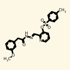 COc1cccc(CC(=O)NN=Cc2ncccc2OS(=O)(=O)c2ccc(C)cc2)c1